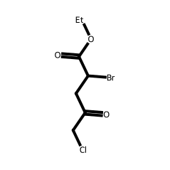 CCOC(=O)C(Br)CC(=O)CCl